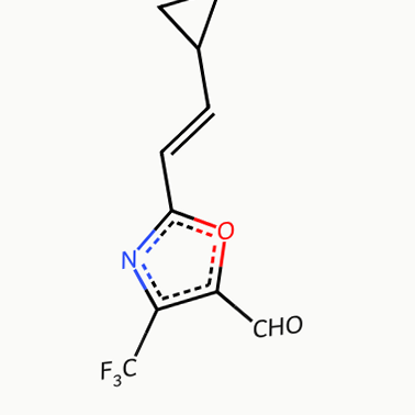 O=Cc1oc(C=CC2CC2)nc1C(F)(F)F